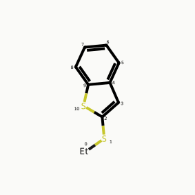 CCSc1cc2ccccc2s1